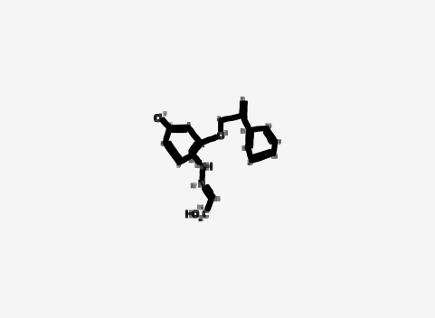 C=C(COc1cc(Cl)ccc1N/N=C/C(=O)O)c1ccccc1